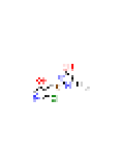 Oc1cc(C(F)(F)F)nc(SCc2c(O)cncc2Cl)n1